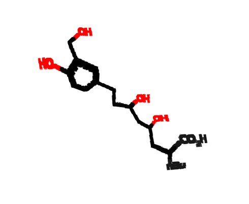 CCCCC(CC(O)CC(O)CCc1ccc(O)c(CO)c1)C(=O)O